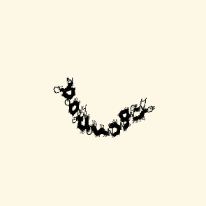 N#Cc1ccc(O[C@H]2CC[C@H](NC(=O)c3ccc(OCCCCN4CCC(n5ccc6c(N7CCC(=O)NC7=O)cccc65)CC4)cn3)CC2)cc1Cl